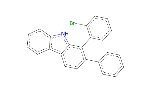 Brc1ccccc1-c1c(-c2ccccc2)ccc2c1[nH]c1ccccc12